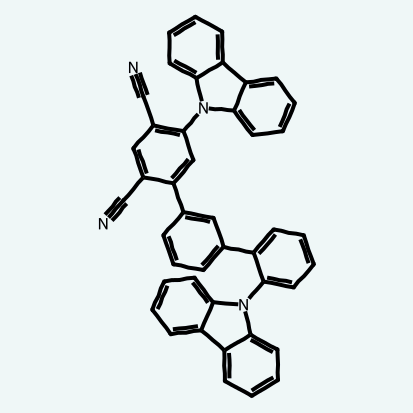 N#Cc1cc(C#N)c(-n2c3ccccc3c3ccccc32)cc1-c1cccc(-c2ccccc2-n2c3ccccc3c3ccccc32)c1